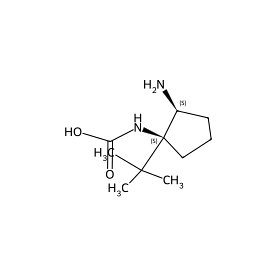 CC(C)(C)[C@@]1(NC(=O)O)CCC[C@@H]1N